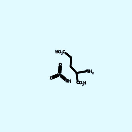 N=S(=O)=O.NC(CCC(=O)O)C(=O)O